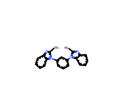 CC(C)(C)c1nc2ccccc2n1-c1cccc(-n2c(C(C)(C)C)nc3ccccc32)c1